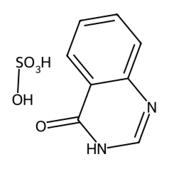 O=S(=O)(O)O.O=c1[nH]cnc2ccccc12